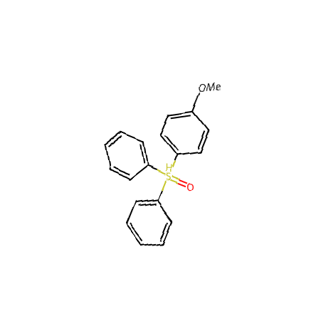 COc1ccc([SH](=O)(c2ccccc2)c2ccccc2)cc1